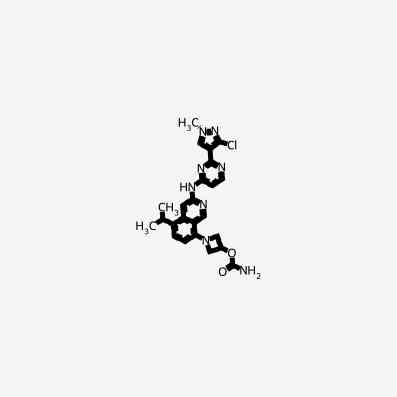 CC(C)c1ccc(N2CC(OC(N)=O)C2)c2cnc(Nc3ccnc(-c4cn(C)nc4Cl)n3)cc12